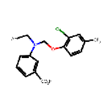 CC(=O)CN(COc1ccc(C(F)(F)F)cc1Cl)c1cccc(C(=O)O)c1